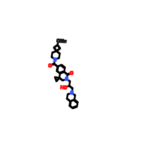 COC1CC2(CCN(C(=O)c3ccc4c(c3)C3(CC3)CN(C[C@H](O)CN3CCc5ccccc5C3)C4=O)CC2)C1